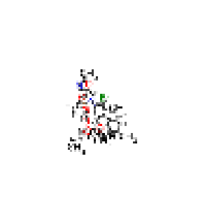 CCCCOC(=O)[C@@H](OC(C)(C)C)c1c(C)c(N(Cc2cnc(C)o2)S(C)(=O)=O)c(Br)c(C)c1-c1ccc(C)cc1